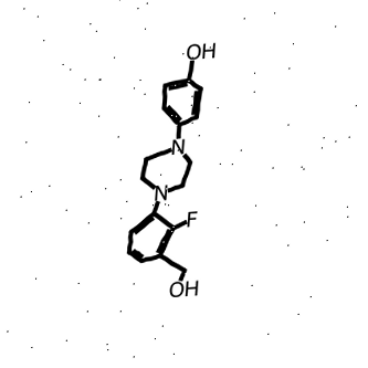 OCc1cccc(N2CCN(c3ccc(O)cc3)CC2)c1F